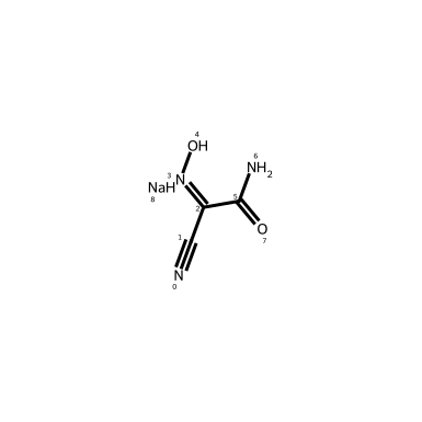 N#CC(=NO)C(N)=O.[NaH]